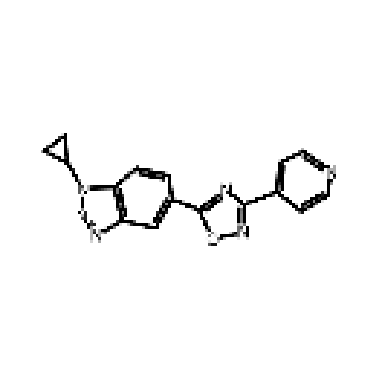 c1cc(-c2noc(-c3ccc4c(c3)nnn4C3CC3)n2)ccn1